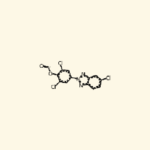 O=[C]Oc1c(Cl)cc(-n2nc3ccc(Cl)cc3n2)cc1Cl